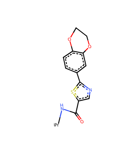 CC(C)NC(=O)c1cnc(-c2ccc3c(c2)OCCO3)s1